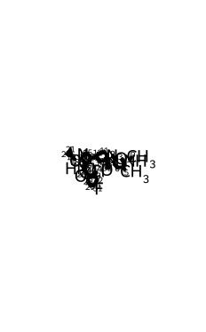 CNC(=O)C(C)Cn1cnc2ccc(-c3cnc(OC4CC4)c(NS(=O)(=O)c4ccc(F)cc4Cl)c3)cc2c1=O